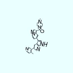 Cc1ccncc1-c1cnc2[nH]cc(-c3ccn4ncc(C(=O)N5CCN(C)CC5)c4c3)c2c1